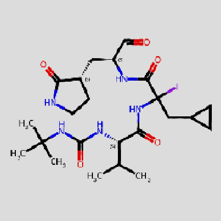 CC(C)[C@H](NC(=O)NC(C)(C)C)C(=O)NC(I)(CC1CC1)C(=O)N[C@H](C=O)C[C@@H]1CCNC1=O